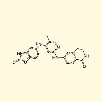 Cc1cnc(Nc2ccc3c(c2)CCNC3=O)nc1Nc1ccc2oc(=O)[nH]c2c1